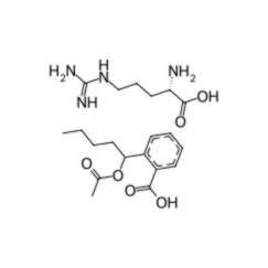 CCCCC(OC(C)=O)c1ccccc1C(=O)O.N=C(N)NCCC[C@H](N)C(=O)O